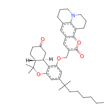 CCCCCCC(C)(C)c1cc(OCc2cc3cc4c5c(c3oc2=O)CCCN5CCC4)c2c(c1)OC(C)(C)[C@@H]1CCC(=O)C[C@@H]21